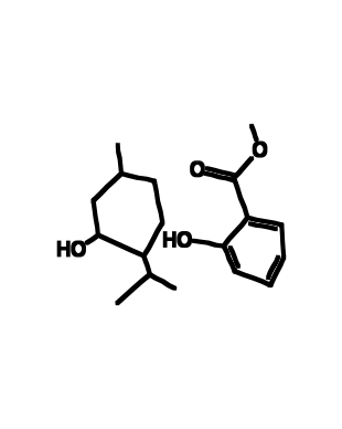 CC1CCC(C(C)C)C(O)C1.COC(=O)c1ccccc1O